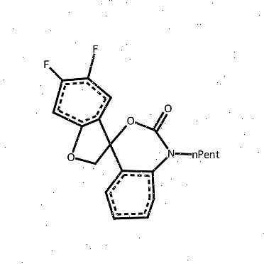 CCCCCN1C(=O)OC2(COc3cc(F)c(F)cc32)c2ccccc21